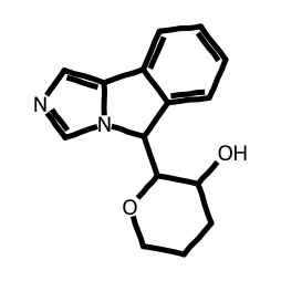 OC1CCCOC1C1c2ccccc2-c2cncn21